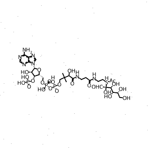 CC(=O)[SH](CCNC(=O)CCNC(=O)C(O)C(C)(C)COP(=O)(O)OP(=O)(O)OC[C@H]1O[C@@H](n2cnc3c(N)ncnc32)[C@H](O)[C@@H]1OP(=O)(O)O)[C@](O)(C=O)[C@@H](O)[C@H](O)[C@H](O)CO